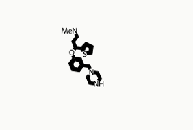 CNCCC(Oc1cccc(CN2CCNCC2)c1)c1cccs1